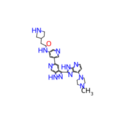 CN1CCN(c2ccnc3[nH]c(-c4n[nH]c5cnc(-c6cncc(NC(=O)CC7CCNCC7)c6)cc45)nc23)CC1